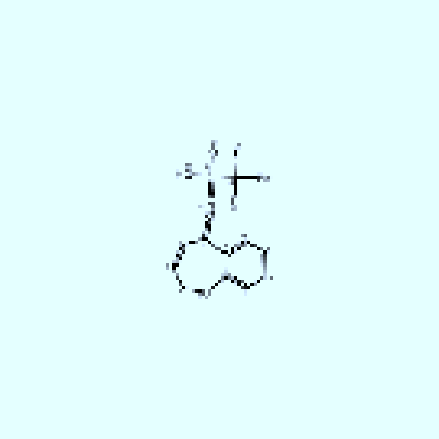 O=C1C=CCOc2ccccc21.O=S(=O)(O)C(F)(F)F